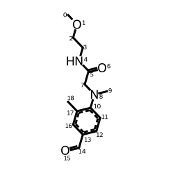 COCCNC(=O)CN(C)c1ccc(C=O)cc1C